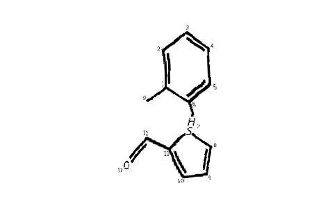 Cc1ccccc1[SH]1C=CC=C1C=O